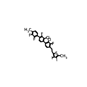 Cc1ccc(-c2ccc(-c3ccc(CCc4sc(C)c(I)c4I)c(F)c3Cl)c(Cl)c2F)c(F)c1F